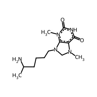 CC(N)CCCCN1CN(C)c2c1n(C)c(=O)[nH]c2=O